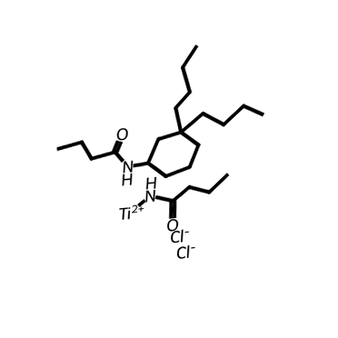 CCCC(=O)[NH][Ti+2].CCCCC1(CCCC)CCCC(NC(=O)CCC)C1.[Cl-].[Cl-]